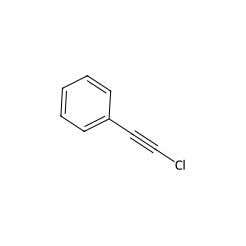 ClC#Cc1ccccc1